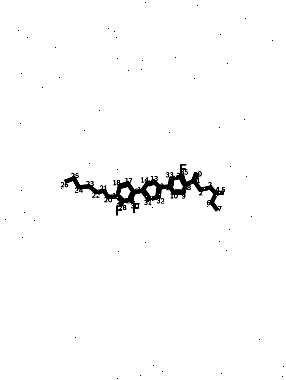 C=C(CCC(C)CC)c1ccc(-c2ccc(-c3ccc(CCCCCCC)c(F)c3F)cc2)cc1F